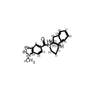 Cn1nnc2cc(C(=O)N3CCC[C@H]4c5ccccc5C[C@H]43)ccc21